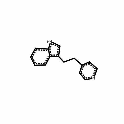 [c]1[nH]c2ccccc2c1CCc1ccncc1